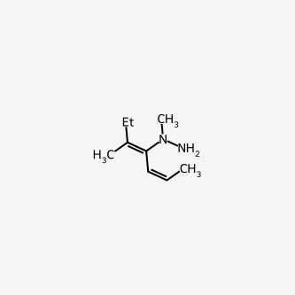 C/C=C\C(=C(/C)CC)N(C)N